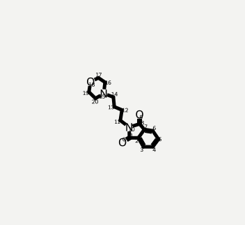 O=C1c2ccccc2C(=O)N1CCCCN1CCOCC1